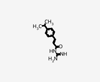 CC(C)c1ccc(/C=C/C(=O)NC(=N)N)cc1